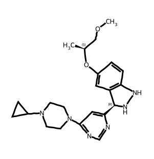 COC[C@H](C)Oc1ccc2c(c1)[C@H](c1cc(N3CCN(C4CC4)CC3)ncn1)NN2